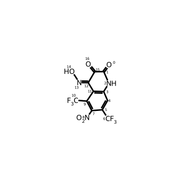 O=C1Nc2cc(C(F)(F)F)c([N+](=O)[O-])c(C(F)(F)F)c2C(=NO)C1=O